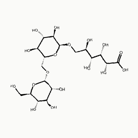 O=C(O)[C@H](O)[C@@H](O)[C@H](O)[C@H](O)CO[C@H]1O[C@H](CO[C@H]2O[C@H](CO)[C@@H](O)[C@H](O)[C@H]2O)[C@@H](O)[C@H](O)[C@H]1O